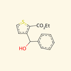 CCOC(=O)c1sccc1C(O)c1ccccc1